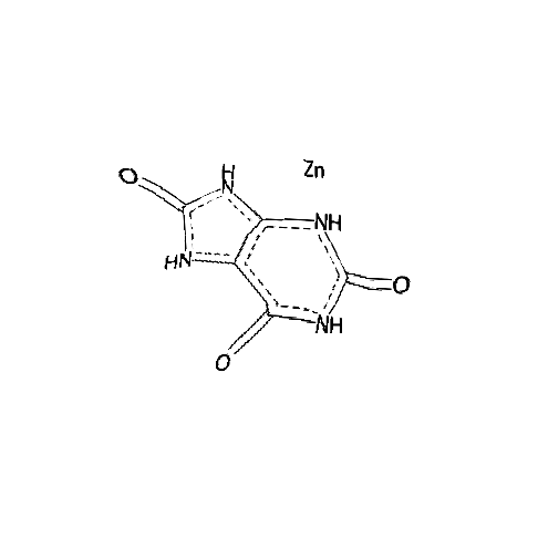 O=c1[nH]c(=O)c2[nH]c(=O)[nH]c2[nH]1.[Zn]